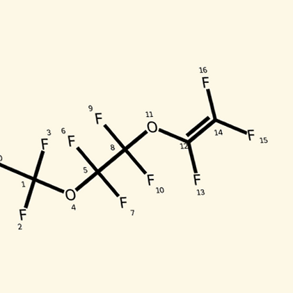 CC(F)(F)OC(F)(F)C(F)(F)OC(F)=C(F)F